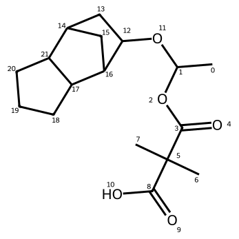 CC(OC(=O)C(C)(C)C(=O)O)OC1CC2CC1C1CCCC21